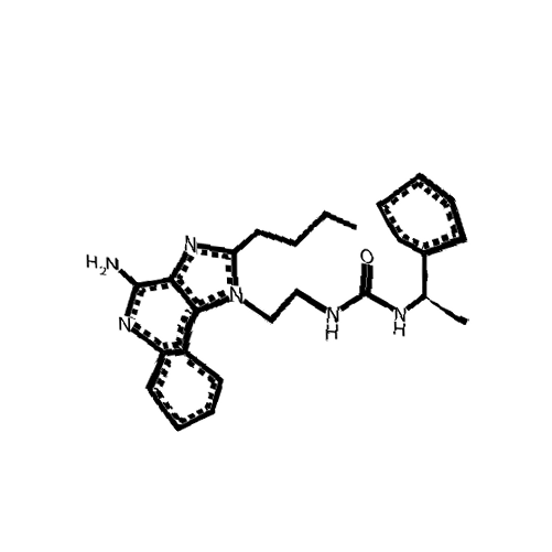 CCCCc1nc2c(N)nc3ccccc3c2n1CCNC(=O)N[C@H](C)c1ccccc1